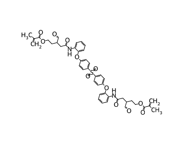 C=C(C)C(=O)OCCC(C=O)CC(=O)Nc1ccccc1Oc1ccc(S(=O)(=O)c2ccc(Oc3ccccc3NC(=O)CC(C=O)CCOC(=O)C(=C)C)cc2)cc1